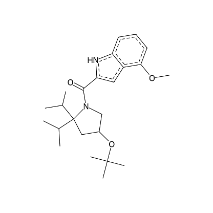 COc1cccc2[nH]c(C(=O)N3CC(OC(C)(C)C)CC3(C(C)C)C(C)C)cc12